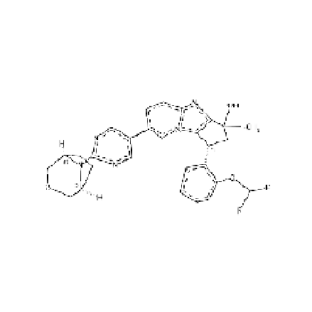 CC1(O)C[C@H](c2ccccc2OC(F)F)c2c1nc1ccc(-c3cnc(N4[C@@H]5CC[C@H]4COC5)nc3)cn21